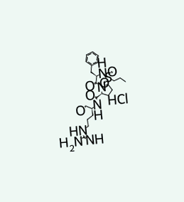 CCCS(=O)(=O)N[C@H](Cc1ccccc1)C(=O)N1CCC[C@H]1C(=O)N[C@H](C=O)CCCNC(=N)N.Cl